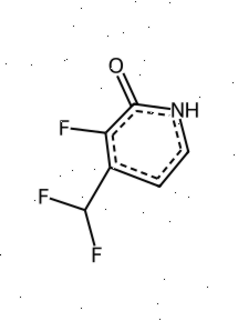 O=c1[nH]ccc(C(F)F)c1F